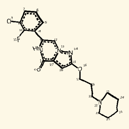 O=c1[nH]c(-c2cccc(Cl)c2F)cn2nc(OCCCN3CCCCC3)cc12